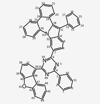 c1ccc(-c2nc(-c3ccc4c(-c5ccccc5)c5c6ccccc6c6ccccc6n5c4c3)nc(-c3cccc4oc5ccccc5c34)n2)cc1